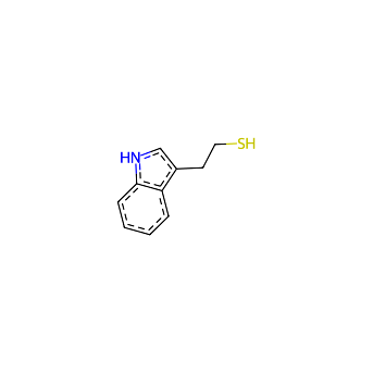 SCCc1c[nH]c2ccccc12